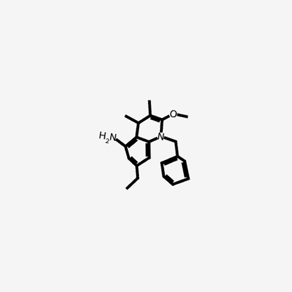 CCc1cc(N)c2c(c1)N(Cc1ccccc1)C(OC)=C(C)C2C